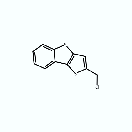 ClCc1cc2sc3ccccc3c2s1